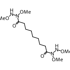 CONN(OC)C(=O)CCCCCCCC(=O)N(NOC)OC